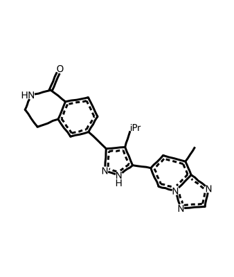 Cc1cc(-c2[nH]nc(-c3ccc4c(c3)CCNC4=O)c2C(C)C)cn2ncnc12